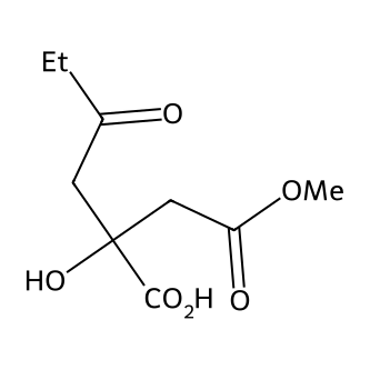 CCC(=O)CC(O)(CC(=O)OC)C(=O)O